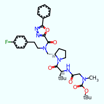 CN(CC(=O)N[C@H](C(=O)N1CCC[C@H]1CN(CCc1ccc(F)cc1)C(=O)c1nnc(-c2ccccc2)o1)C(C)(C)C)C(=O)OC(C)(C)C